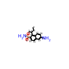 CCC(C)c1c(S(N)(=O)=O)ccc2cc(N)ccc12